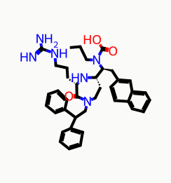 CCCN(C(=O)O)[C@@H](Cc1ccc2ccccc2c1)[C@@H]1CCN(CC(c2ccccc2)c2ccccc2)C(=O)[C@H](CCCNC(=N)N)N1